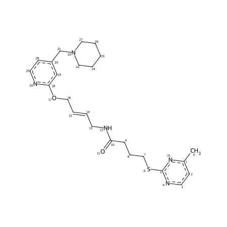 Cc1ccnc(SCCCC(=O)NCC=CCOc2cc(CN3CCCCC3)ccn2)n1